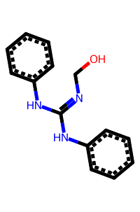 OCN=C(Nc1ccccc1)Nc1ccccc1